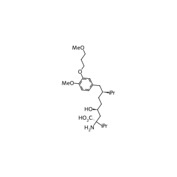 COCCCOc1cc(C[C@H](CC[C@H](O)C[C@@](N)(C(=O)O)C(C)C)C(C)C)ccc1OC